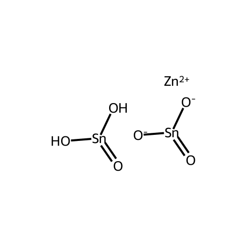 [O]=[Sn]([O-])[O-].[O]=[Sn]([OH])[OH].[Zn+2]